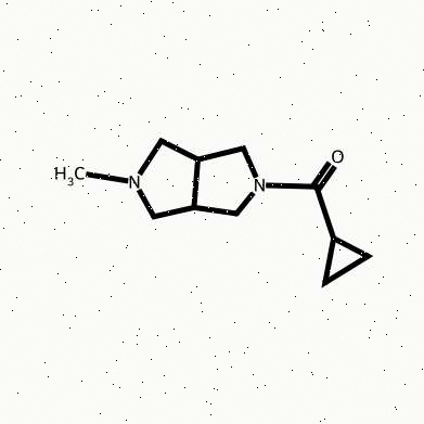 CN1CC2CN(C(=O)C3CC3)CC2C1